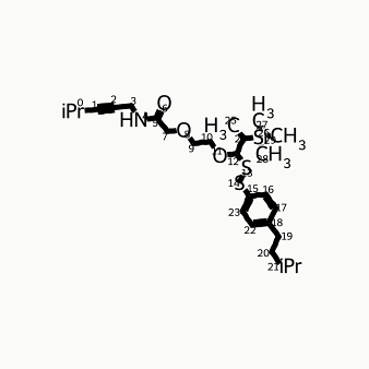 CC(C)C#CCNC(=O)COCCOC(SSc1ccc(CCC(C)C)cc1)C(C)[Si](C)(C)C